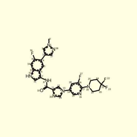 Cn1cc(-c2cc3c(NC(=O)c4cn(-c5cnc(N6CCC(F)(F)CC6)c(F)c5)cn4)c[nH]c3cc2F)cn1